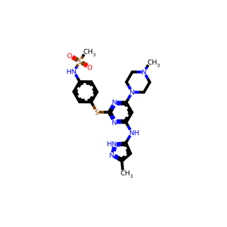 Cc1cc(Nc2cc(N3CCN(C)CC3)nc(Sc3ccc(NS(C)(=O)=O)cc3)n2)[nH]n1